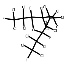 FC(Cl)(Cl)C(Cl)(Cl)C(F)(OC(F)(C(Cl)(Cl)C(Cl)Cl)C(Cl)(Cl)C(F)(Cl)Cl)C(Cl)(Cl)C(Cl)Cl